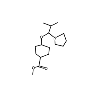 COC(=O)C1CCC(OC(C(C)C)N2CCCC2)CC1